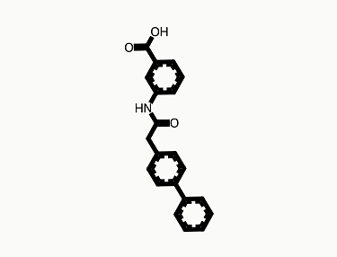 O=C(Cc1ccc(-c2ccccc2)cc1)Nc1cccc(C(=O)O)c1